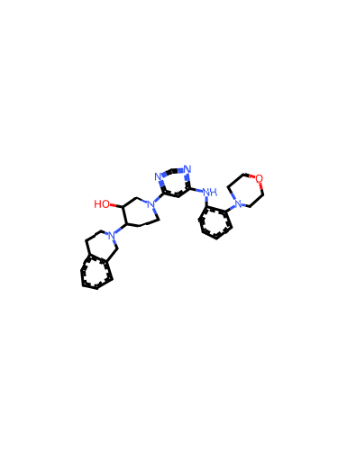 OC1CN(c2cc(Nc3ccccc3N3CCOCC3)ncn2)CCC1N1CCc2ccccc2C1